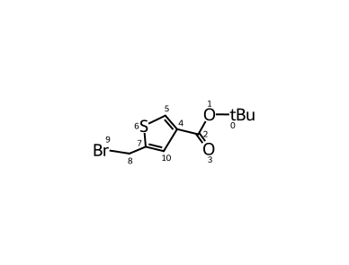 CC(C)(C)OC(=O)c1csc(CBr)c1